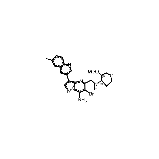 CO[C@H]1COCC[C@H]1NCc1nc2c(-c3cnc4ccc(F)cc4c3)cnn2c(N)c1Br